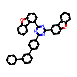 c1ccc(-c2cccc(-c3ccc(-c4nc(-c5ccc6oc7ccccc7c6c5)nc(-c5cccc6oc7ccccc7c56)n4)cc3)c2)cc1